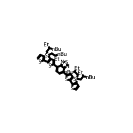 CCCCC(CC)C[Si]1(CC(CC)CCCC)c2ccsc2-c2sc(-c3ccc(-c4cc5c(s4)-c4sccc4[Si]5(CC(CC)CCCC)CC(CC)CCCC)c4nsnc34)cc21